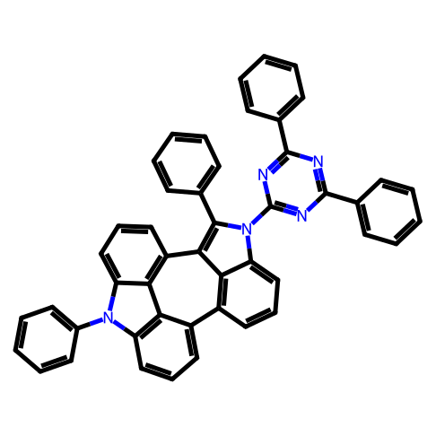 c1ccc(-c2nc(-c3ccccc3)nc(-n3c(-c4ccccc4)c4c5c(cccc53)-c3cccc5c3c3c-4cccc3n5-c3ccccc3)n2)cc1